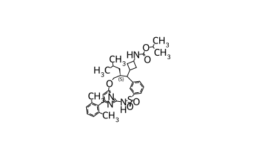 Cc1cccc(C)c1-c1cc2nc(n1)NS(=O)(=O)c1cccc(c1)C(C1CC(NC(=O)OC(C)C)C1)[C@H](CC(C)C)CO2